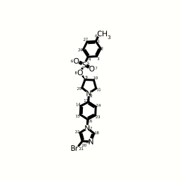 Cc1ccc(S(=O)(=O)O[C@H]2CCN(c3ccc(-n4cnc(Br)c4)cc3)C2)cc1